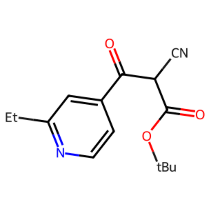 CCc1cc(C(=O)C(C#N)C(=O)OC(C)(C)C)ccn1